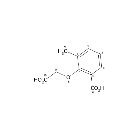 Cc1cccc(C(=O)O)c1OCC(=O)O